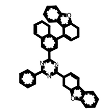 C1=Cc2cc(-c3nc(-c4ccccc4)nc(C4C=Cc5c(oc6ccccc56)C4)n3)cc(C3=CCCc4oc5ccccc5c43)c2CC1